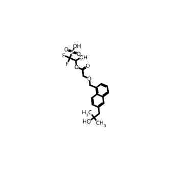 CC(C)(O)Cc1ccc2c(COCC(=O)OC(O)C(F)(F)S(=O)(=O)O)cccc2c1